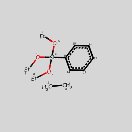 CC.CCO[Si](OCC)(OCC)c1ccccc1